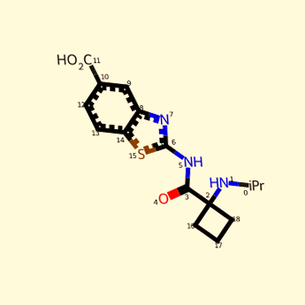 CC(C)NC1(C(=O)Nc2nc3cc(C(=O)O)ccc3s2)CCC1